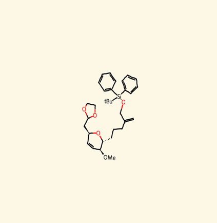 C=C(CCC[C@H]1O[C@H](CC2OCCO2)C=C[C@@H]1OC)CO[Si](c1ccccc1)(c1ccccc1)C(C)(C)C